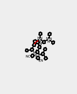 N#Cc1ccc2c(c1)N(c1cc(-c3ccccc3)cc(-c3ccccc3)c1)c1cc(-c3ccc4c(c3)c3ccccc3n4-c3ccc(-c4nc(-c5ccccc5)nc(-c5ccccc5)n4)cc3-c3nc(-c4ccccc4)nc(-c4ccccc4)n3)cc3c1B2c1ccc(C#N)cc1N3c1cc(-c2ccccc2)cc(-c2ccccc2)c1